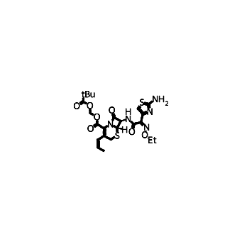 C/C=C\C1=C(C(=O)OCOC(=O)C(C)(C)C)N2C(=O)[C@@H](NC(=O)/C(=N\OCC)c3csc(N)n3)[C@@H]2SC1